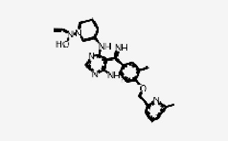 C=CN(O)N1CCCC(Nc2ncnc(N)c2C(=N)c2ccc(OCc3cccc(C)n3)c(C)c2)C1